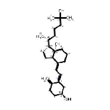 C=C1CC[C@H](O)C/C1=C/C=C1CCC[C@@]2(C)C1CC[C@@H]2[C@H](C)CCCC(C)(C)F